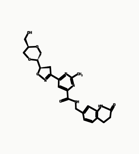 Cc1nc(C(=O)NCc2ccc3c(c2)NC(=O)CC3)cc(C2=NO[C@@H]([C@H]3CO[C@H](CO)CO3)C2)n1